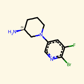 N[C@H]1CCCN(c2cnc(Br)c(F)c2)C1